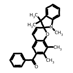 Cc1c(C(=O)c2ccccc2)cc2c(c1C)OC1(C=C2)N(C)c2ccccc2C1(C)C